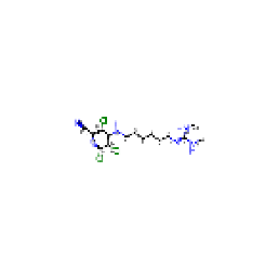 CNC(=NCCCCCCNc1c(Cl)c(Cl)nc(C#N)c1Cl)NC